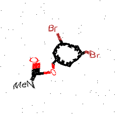 CNC(=O)Oc1cc(Br)cc(Br)c1